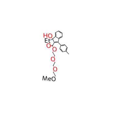 CCC1(O)C(C(=O)OCCOCCOCCOC)=C(c2ccc(C)cc2)c2ccccc21